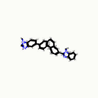 Cn1cnc2cc(-c3ccc4c(ccc5cc(-c6nc7ccccc7n6C)ccc54)c3)ccc21